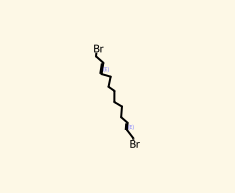 BrC/C=C/CCCCCC/C=C/CBr